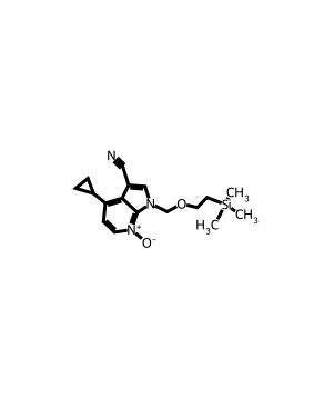 C[Si](C)(C)CCOCn1cc(C#N)c2c(C3CC3)cc[n+]([O-])c21